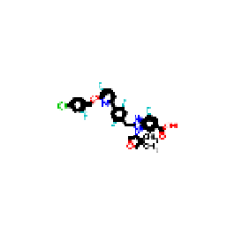 CC1(C)COCC1n1c(Cc2cc(F)c(-c3ccc(F)c(OCc4ccc(Cl)cc4F)n3)cc2F)nc2c(F)cc(C(=O)O)cc21